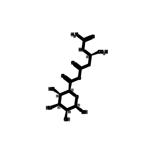 NC(=O)N[C@@H](CC(=O)OC(=O)[C@H]1O[C@@H](O)[C@H](O)[C@@H](O)[C@@H]1O)C(=O)O